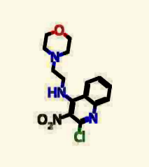 O=[N+]([O-])c1c(Cl)nc2ccccc2c1NCCN1CCOCC1